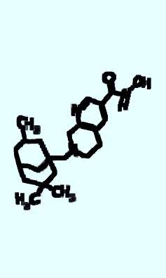 CC1CC2CC(C)(C)CC(CN3CCc4cc(C(=O)NO)cnc4C3)(C1)C2